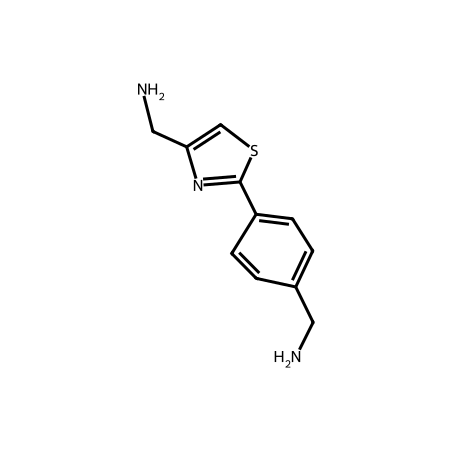 NCc1ccc(-c2nc(CN)cs2)cc1